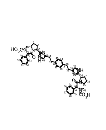 CN(C(=O)O)[C@@H](C(=O)N1CCC[C@H]1c1nc(CCc2ccc(CCc3c[nH]c([C@@H]4CCCN4C(=O)[C@@H](c4ccccc4)N(C)C(=O)O)n3)cc2)c[nH]1)c1ccccc1